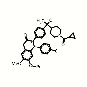 COc1cc2c(cc1OC(C)C)[C@H](c1ccc(Cl)cc1)N(c1ccc(C(C)(O)C3CCN(C(=O)C4CC4)CC3)cc1)C(=O)C2